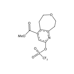 COC(=O)c1cc(OS(=O)(=O)C(F)(F)F)nc2c1CCOCC2